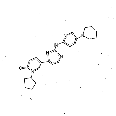 O=c1ccc(-c2ccnc(Nc3ccc(N4CCCCC4)cn3)n2)cn1C1CCCC1